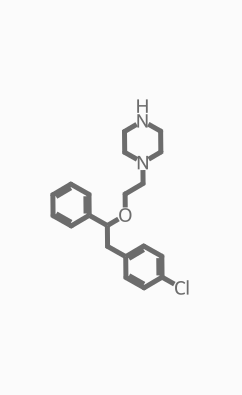 Clc1ccc(CC(OCCN2CCNCC2)c2ccccc2)cc1